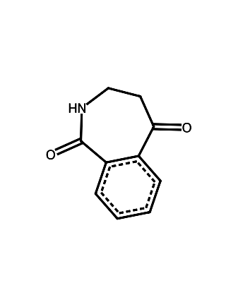 O=C1CCNC(=O)c2ccccc21